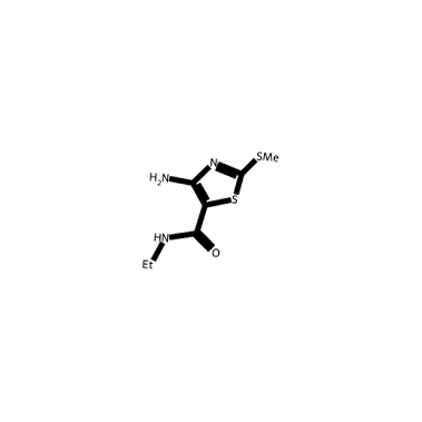 CCNC(=O)c1sc(SC)nc1N